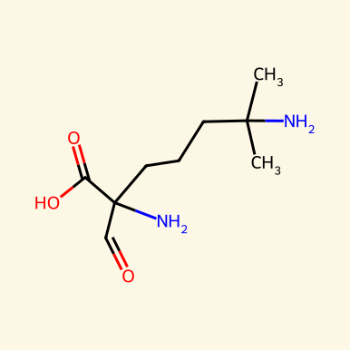 CC(C)(N)CCCC(N)(C=O)C(=O)O